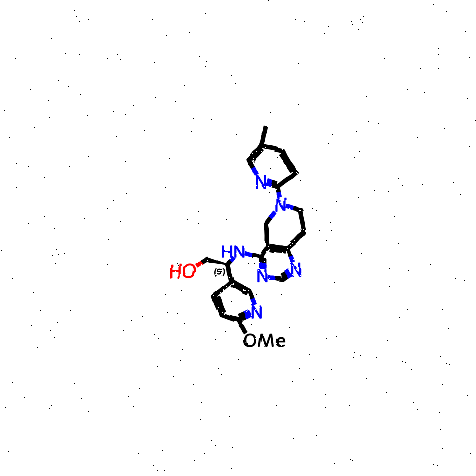 COc1ccc([C@@H](CO)Nc2ncnc3c2CN(c2ccc(C)cn2)CC3)cn1